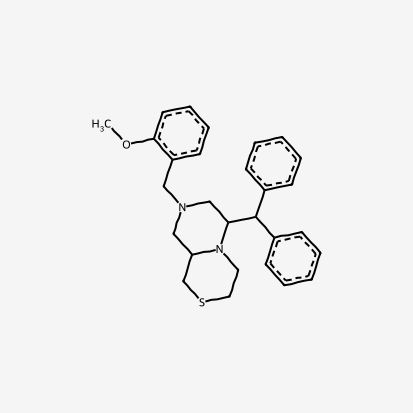 COc1ccccc1CN1CC2CSCCN2C(C(c2ccccc2)c2ccccc2)C1